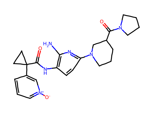 Nc1nc(N2CCCC(C(=O)N3CCCC3)C2)ccc1NC(=O)C1(c2ccc[n+]([O-])c2)CC1